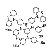 CC(C)(C)c1ccc(N(c2ccc(C(C)(C)C)cc2)c2cc3c4c(c2)N(c2cc(C(C)(C)C)cc(C(C)(C)C)c2)c2cc(N5c6ccccc6Sc6ccccc65)ccc2B4c2ccc(N4c5ccccc5Sc5ccccc54)cc2N3c2cc(C(C)(C)C)cc(C(C)(C)C)c2)cc1